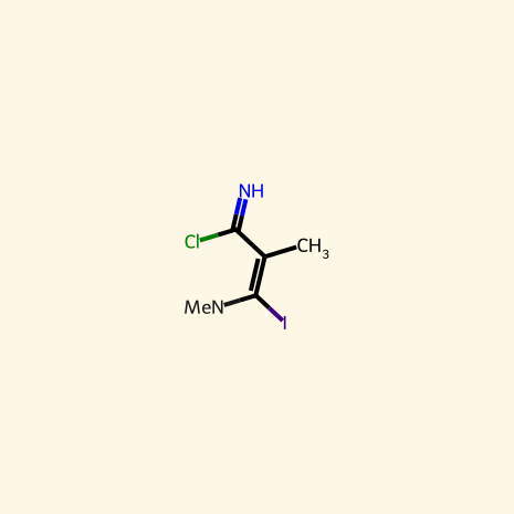 CN/C(I)=C(/C)C(=N)Cl